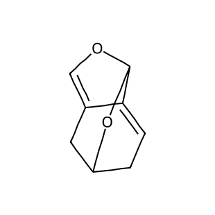 C1=C2CC3CC=C2C(O1)O3